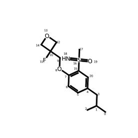 CC(C)Cc1ccc(OCC2(F)COC2)c(S(C)(=N)=O)c1